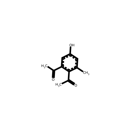 CC(=O)c1cc(O)cc(C)c1C(C)=O